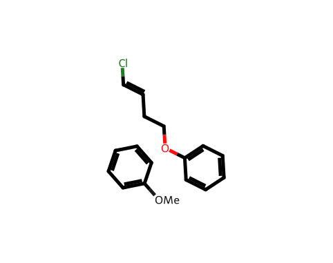 COc1ccccc1.ClC=CCCOc1ccccc1